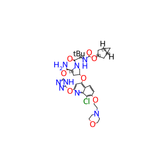 CC(C)(C)[C@H](NC(=O)O[C@@H]1C[C@@H]2C[C@@H]2C1)C(=O)N1CC(Oc2cc(Oc3nnc[nH]3)nc3c(Cl)c(OCCN4CCOCC4)ccc23)C[C@H]1C(N)=O